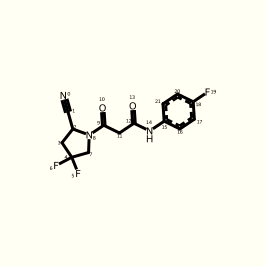 N#CC1CC(F)(F)CN1C(=O)CC(=O)Nc1ccc(F)cc1